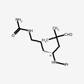 CC(C)N[C@H](CCCNC(N)=O)CC(C)(C)C=O